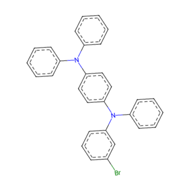 Brc1cccc(N(c2ccccc2)c2ccc(N(c3ccccc3)c3ccccc3)cc2)c1